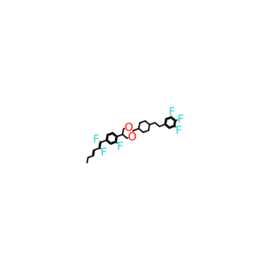 CC/C=C/C(F)=C(\F)c1ccc(C2COC(C3CCC(CCc4cc(F)c(F)c(F)c4)CC3)OC2)c(F)c1